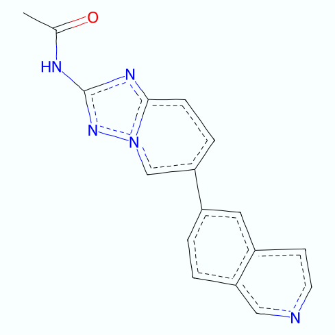 CC(=O)Nc1nc2ccc(-c3ccc4cnccc4c3)cn2n1